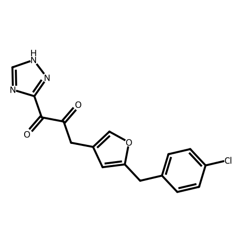 O=C(Cc1coc(Cc2ccc(Cl)cc2)c1)C(=O)c1nc[nH]n1